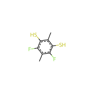 Cc1c(F)c(S)c(C)c(S)c1F